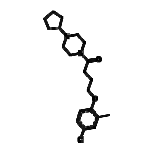 Cc1cc(Cl)ccc1OCCCC(=O)N1CCN(C2CCCC2)CC1